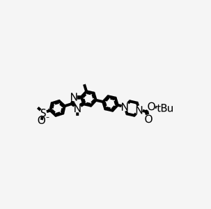 Cc1cc(-c2ccc(N3CCN(C(=O)OC(C)(C)C)CC3)cc2)cc2c1nc(-c1ccc([S+](C)[O-])cc1)n2C